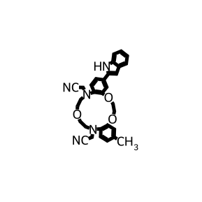 Cc1ccc2c(c1)OCCOc1cc(-c3cc4ccccc4[nH]3)ccc1N(CC#N)CCOCCN2CC#N